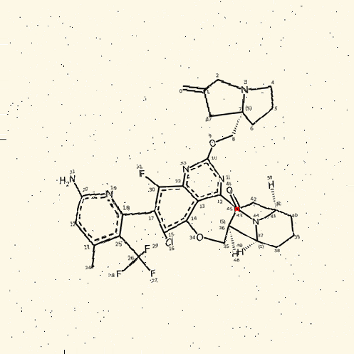 C=C1CN2CCC[C@@]2(COc2nc3c4c(c(Cl)c(-c5nc(N)cc(C)c5C(F)(F)F)c(F)c4n2)OC[C@@H]2[C@@H]4CCC[C@H](CN32)N4C=O)C1